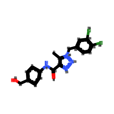 Cc1c(C(=O)Nc2ccc(CO)cc2)nnn1Cc1ccc(Cl)c(Cl)c1